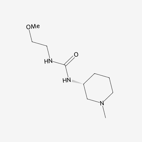 COCCNC(=O)N[C@@H]1CCCN(C)C1